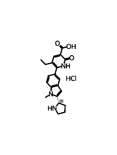 CCc1cc(C(=O)O)c(=O)[nH]c1-c1ccc2c(c1)cc([C@@H]1CCCN1)n2C.Cl